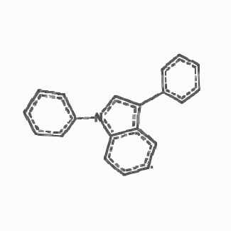 [c]1ccc2c(c1)c(-c1ccccc1)cn2-c1ccccc1